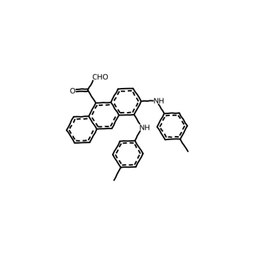 Cc1ccc(Nc2ccc3c(C(=O)C=O)c4ccccc4cc3c2Nc2ccc(C)cc2)cc1